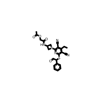 CCc1c(C#N)c(SC(C=O)c2ccccc2)nc(N2CC(NC(=O)COC(C)=O)C2)c1C#N